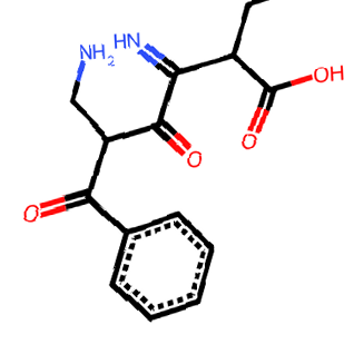 CCC(C(=N)C(=O)C(CN)C(=O)c1ccccc1)C(=O)O